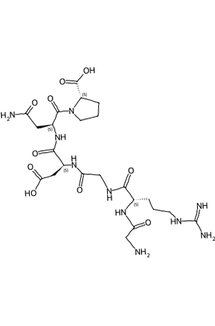 N=C(N)NCCC[C@H](NC(=O)CN)C(=O)NCC(=O)N[C@@H](CC(=O)O)C(=O)N[C@@H](CC(N)=O)C(=O)N1CCC[C@H]1C(=O)O